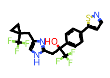 OC(Cc1nc(CC2(C(F)(F)F)CC2)c[nH]1)(c1ccc(-c2ccns2)cc1)C(F)(F)F